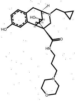 O=C(NCCCN1CCOCC1)[C@H]1C[C@]23CCN(CC4CC4)[C@H](Cc4ccc(O)cc42)[C@]3(O)C1